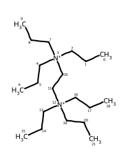 CCC[N+](CCC)(CCC)CC[N+](CCC)(CCC)CCC